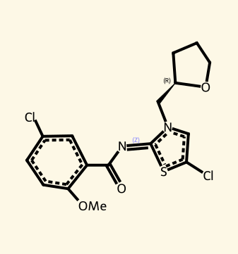 COc1ccc(Cl)cc1C(=O)/N=c1\sc(Cl)cn1C[C@H]1CCCO1